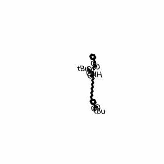 CC(C)(C)OC(=O)c1ccc(CCCCCCCCCCC(=O)N[C@@H](CCC(=O)OCc2ccccc2)C(=O)OC(C)(C)C)cc1